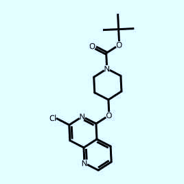 CC(C)(C)OC(=O)N1CCC(Oc2nc(Cl)cc3ncccc23)CC1